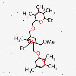 CCC1OC2(COCC3CC4(COC)OC(CC)C3(C)CC4COC34CC(C)=C(CC3C)C(C)O4)CC(C)C1(C)CC2C